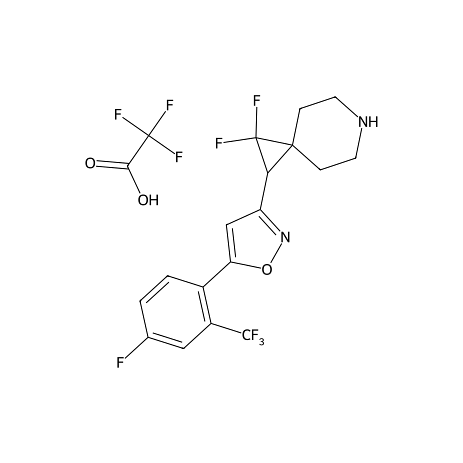 Fc1ccc(-c2cc(C3C(F)(F)C34CCNCC4)no2)c(C(F)(F)F)c1.O=C(O)C(F)(F)F